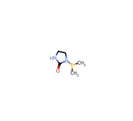 CP(C)N1CCNC1=O